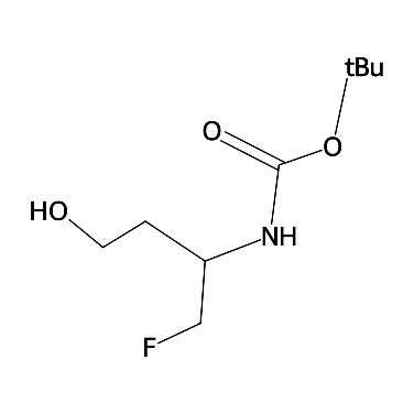 CC(C)(C)OC(=O)NC(CF)CCO